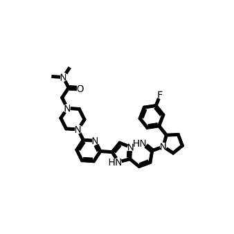 CN(C)C(=O)CN1CCN(c2cccc(-c3cnc(/C=C\C(=N)N4CCCC4c4cccc(F)c4)[nH]3)n2)CC1